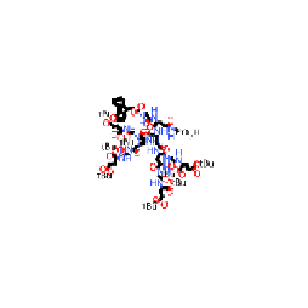 CC(C)(C)OC(=O)CCC(NC(=O)CNC(=O)CCC(NC(=O)CCC(NC(=O)C(CCC(=O)NCC(=O)O)NC(=O)CNC(=O)OCC1c2ccccc2-c2ccccc21)C(=O)NC(CCC(=O)NCC(=O)NC(CCC(=O)OC(C)(C)C)C(=O)OC(C)(C)C)C(=O)NCC(=O)NC(CCC(=O)OC(C)(C)C)C(=O)OC(C)(C)C)C(=O)NCC(=O)NC(CCC(=O)OC(C)(C)C)C(=O)OC(C)(C)C)C(=O)OC(C)(C)C